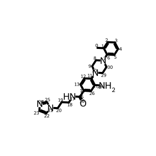 Cc1ccccc1N1CCN(c2ccc(C(=O)NCCCn3ccnc3)cc2N)CC1